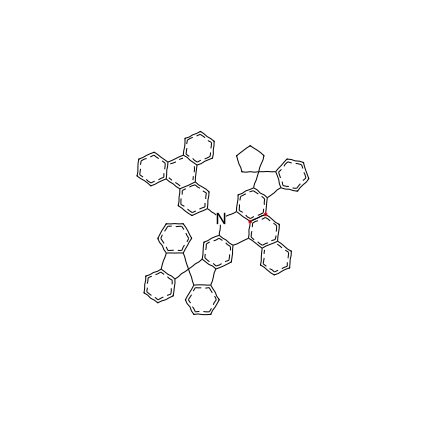 c1ccc2c(c1)-c1ccc(N(c3ccc4c5ccccc5c5ccccc5c4c3)c3cc4c(cc3-c3cccc5ccccc35)-c3ccccc3C43c4ccccc4-c4ccccc43)cc1C21CCCC1